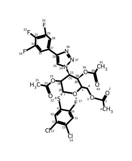 CC(=O)OCC1O[C@H](Sc2cc(Cl)c(Cl)cc2F)C(OC(C)=O)[C@@H](n2cc(-c3cc(F)c(F)c(F)c3)nn2)[C@H]1OC(C)=O